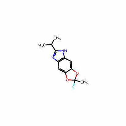 CC(C)c1nc2cc3c(cc2[nH]1)OC(C)(F)O3